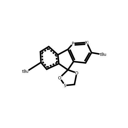 CC(C)(C)[C]1=CC2=C([P]=[K]1)c1ccc(C(C)(C)C)cc1C21OCSO1